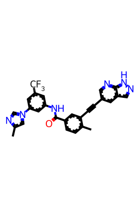 Cc1cn(-c2cc(NC(=O)c3ccc(C)c(C#Cc4cnc5[nH]ncc5c4)c3)cc(C(F)(F)F)c2)cn1